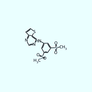 CS(=O)(=O)c1cc(Nc2ncnc3ccsc23)cc(S(C)(=O)=O)c1